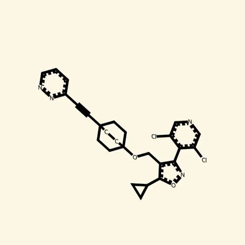 Clc1cncc(Cl)c1-c1noc(C2CC2)c1COC12CCC(C#Cc3cccnn3)(CC1)CC2